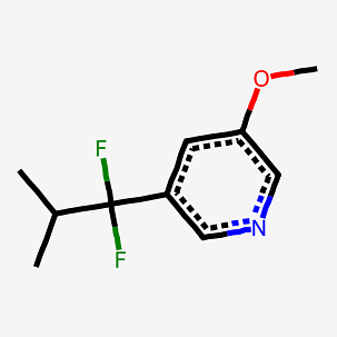 COc1cncc(C(F)(F)C(C)C)c1